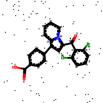 O=C(O)c1ccc(-c2cc(C(=O)c3c(Cl)cccc3Br)n3ccccc23)cc1